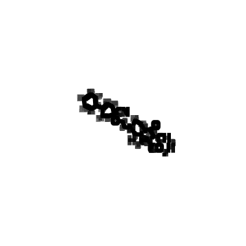 C[C@H](C(=O)N1CCN(CCOC2(C#N)C=CC(c3ccccc3)=CC2)CC1)N(C)C(=O)O